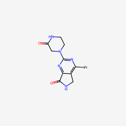 CC(C)c1nc(N2CCNC(=O)C2)nc2c1CNC2=O